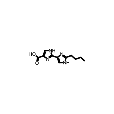 CCCCc1nc(-c2nc(C(=O)O)c[nH]2)c[nH]1